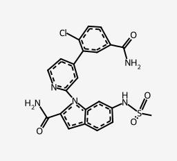 CS(=O)(=O)Nc1ccc2cc(C(N)=O)n(-c3cc(-c4cc(C(N)=O)ccc4Cl)ccn3)c2c1